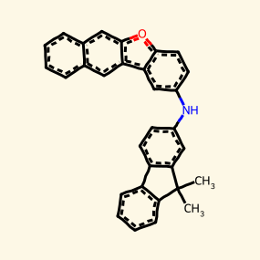 CC1(C)c2ccccc2-c2ccc(Nc3ccc4oc5cc6ccccc6cc5c4c3)cc21